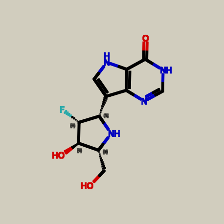 O=c1[nH]cnc2c([C@@H]3N[C@H](CO)[C@@H](O)[C@@H]3F)c[nH]c12